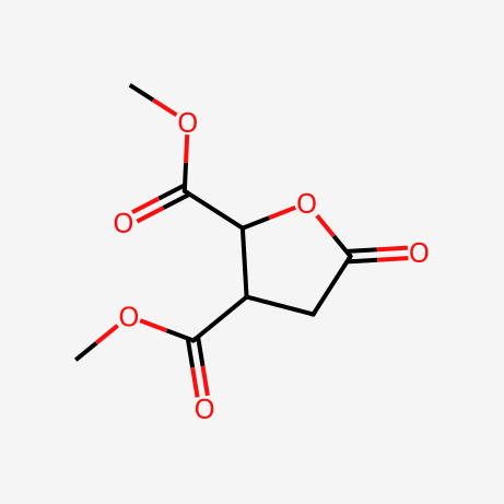 COC(=O)C1CC(=O)OC1C(=O)OC